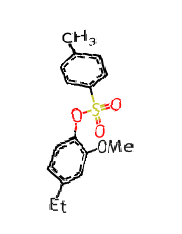 CCc1ccc(OS(=O)(=O)c2ccc(C)cc2)c(OC)c1